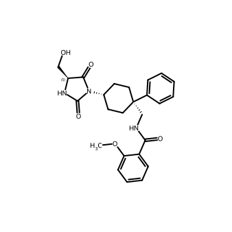 COc1ccccc1C(=O)NC[C@]1(c2ccccc2)CC[C@H](N2C(=O)N[C@@H](CO)C2=O)CC1